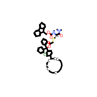 CN(C)C(=O)[C@H](CSCC(=O)OC(c1ccccc1)(c1ccc(C2CCCCCCCCCCCCCC2)cc1)c1ccccc1Cl)N(C)C(=O)OCC1c2ccccc2-c2ccccc21